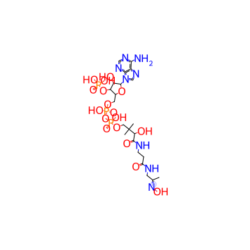 C/C(CNC(=O)CCNC(=O)C(O)C(C)(C)COP(=O)(O)OP(=O)(O)OCC1OC(n2cnc3c(N)ncnc32)C(O)C1OP(=O)(O)O)=N\O